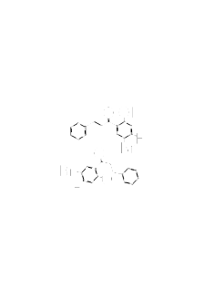 O=C(C=Cc1ccccc1)c1cc(Br)c(F)cc1O.O=C1CC(c2ccccc2)Oc2cc(F)c(Br)cc21